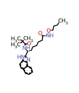 CCCCONC(=O)CCCCC[C@H](NC(=O)C(C)(C)C)c1nc2c(ccc3ccccc32)[nH]1